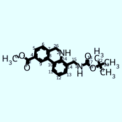 COC(=O)c1ccc2c(c1)-c1cccc(CNC(=O)OC(C)(C)C)c1NC2